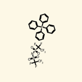 O=S(=O)([N-]S(=O)(=O)C(F)(F)C(F)(F)F)C(F)(F)C(F)(F)F.c1ccc([P+](c2ccccc2)(c2ccccc2)c2ccccc2)cc1